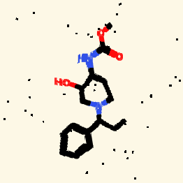 CCC(c1ccccc1)N1CCC(NC(=O)OC)C(O)C1